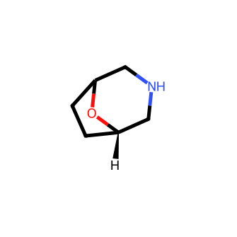 C1C[C@H]2CNCC1O2